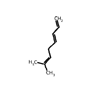 C=CC=CCC=C(C)C